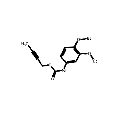 CC#CCOC(=O)Nc1ccc(OCC)c(OCC)c1